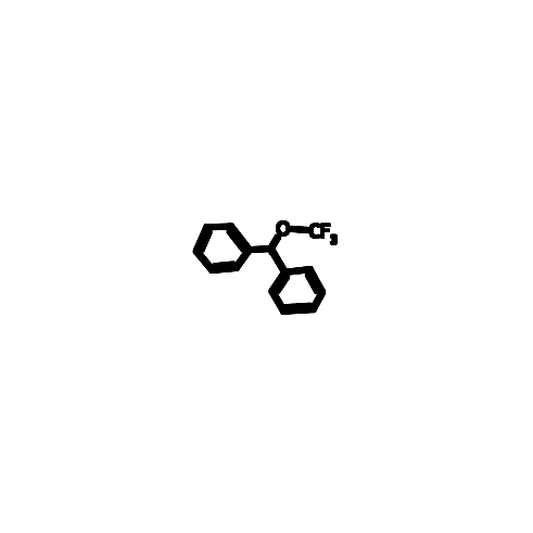 FC(F)(F)O[C](c1ccccc1)c1ccccc1